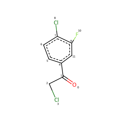 O=C(CCl)c1ccc(Cl)c(F)c1